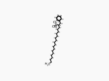 CCCCCCCCCCCCCCCCCCC(Cc1ccccc1)[SiH](Cl)Cl